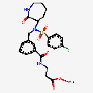 CC(C)(C)OC(=O)CCNC(=O)c1cccc(CN(C2CCCCNC2=O)S(=O)(=O)c2ccc(Cl)cc2)c1